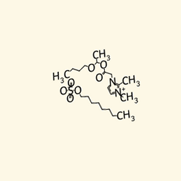 CCCCCCCCOS(=O)(=O)[O-].CCCCOC(C)OC(=O)Cn1cc[n+](C)c1C